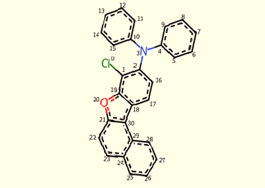 Clc1c(N(c2ccccc2)c2ccccc2)ccc2c1oc1ccc3ccccc3c12